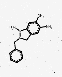 Nc1cc2c(cc1N)N(N)N(Cc1ccccc1)C2